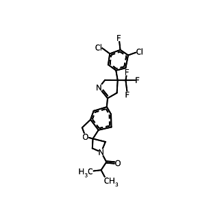 CC(C)C(=O)N1CC2(C1)OCc1cc(C3=NCC(c4cc(Cl)c(F)c(Cl)c4)(C(F)(F)F)C3)ccc12